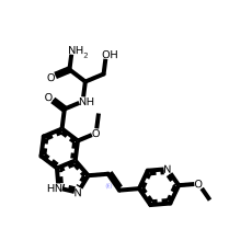 COc1ccc(/C=C/c2n[nH]c3ccc(C(=O)NC(CO)C(N)=O)c(OC)c23)cn1